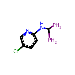 PC(P)Nc1ccc(Cl)cn1